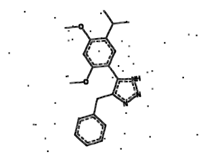 COc1cc(OC)c(C(C)C)cc1-c1[nH]nnc1Cc1ccccc1